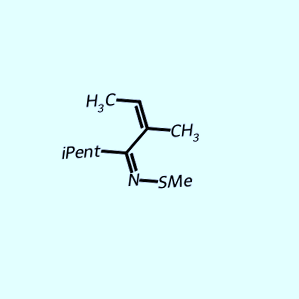 C/C=C(C)\C(=N/SC)C(C)CCC